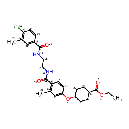 CCOC(=O)[C@H]1CC[C@@H](Oc2ccc(C(=O)NCCNC(=O)c3ccc(Cl)c(C)c3)c(C)c2)CC1